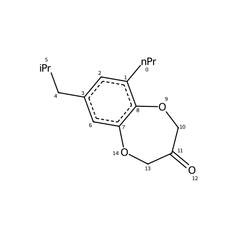 CCCc1cc(CC(C)C)cc2c1OCC(=O)CO2